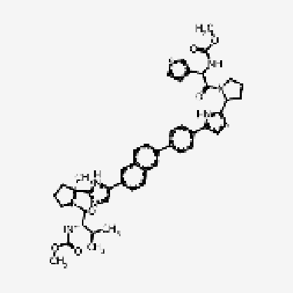 COC(=O)NC(C(=O)N1CCCC1c1ncc(-c2ccc(-c3ccc4cc(-c5cnc([C@]6(C)CCCN6C(=O)[C@@H](NC(=O)OC)C(C)C)[nH]5)ccc4c3)cc2)[nH]1)c1ccsc1